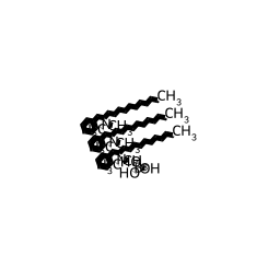 CCCCCCCCCCCC(Cc1ccccc1)N(C)C.CCCCCCCCCCCC(Cc1ccccc1)N(C)C.CCCCCCCCCCCC(Cc1ccccc1)N(C)C.OB(O)O